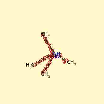 CCOC(=O)CCCCC(=O)NCC(=O)NC(COCOCCOCCOCCOCCOC)(COCOCCOCCOCCOCCOC)COCOCCOCCOCCOCCOC